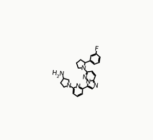 NC1CCN(c2cccc(-c3cnc4ccc(N5CCCC5c5cccc(F)c5)nn34)n2)C1